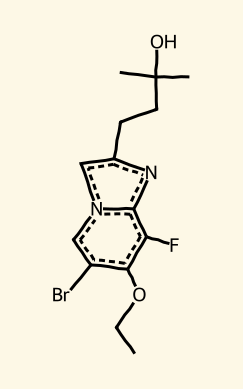 CCOc1c(Br)cn2cc(CCC(C)(C)O)nc2c1F